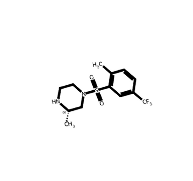 Cc1ccc(C(F)(F)F)cc1S(=O)(=O)N1CCN[C@@H](C)C1